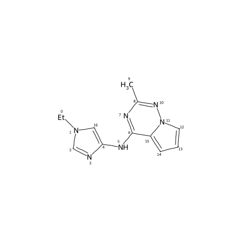 CCn1cnc(Nc2nc(C)nn3cccc23)c1